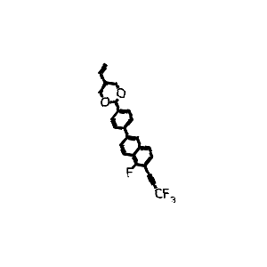 C=CC1COC(c2ccc(-c3ccc4c(F)c(C#CC(F)(F)F)ccc4c3)cc2)OC1